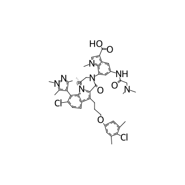 Cc1cc(OCCCc2c3n(c4c(-c5c(C)nn(C)c5C)c(Cl)ccc24)[C@H](C)CN(c2cc(NC(=O)CN(C)C)cc4c(C(=O)O)cn(C)c24)C3=O)cc(C)c1Cl